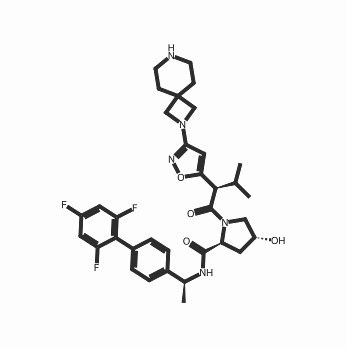 CC(C)[C@@H](C(=O)N1C[C@H](O)C[C@H]1C(=O)N[C@@H](C)c1ccc(-c2c(F)cc(F)cc2F)cc1)c1cc(N2CC3(CCNCC3)C2)no1